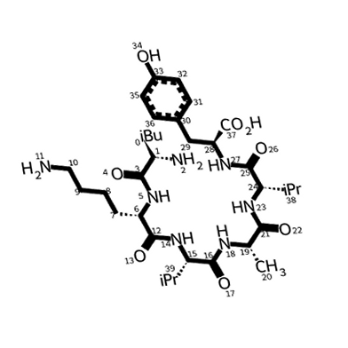 CC[C@H](C)[C@H](N)C(=O)N[C@@H](CCCCN)C(=O)N[C@H](C(=O)N[C@@H](C)C(=O)N[C@H](C(=O)N[C@@H](Cc1ccc(O)cc1)C(=O)O)C(C)C)C(C)C